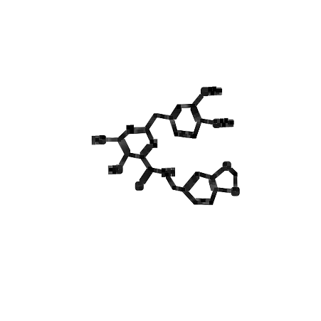 COc1ccc(Cc2nc(O)c(O)c(C(=O)NCc3ccc4c(c3)OCO4)n2)cc1OC